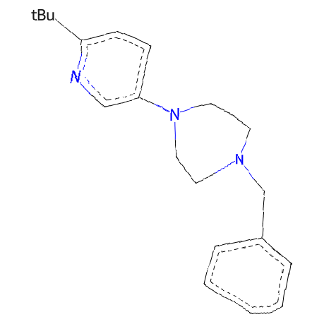 CC(C)(C)c1ccc(N2CCN(Cc3ccccc3)CC2)cn1